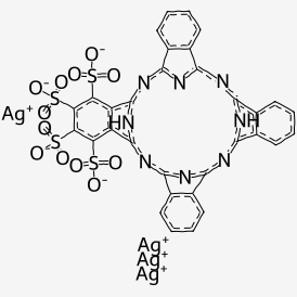 O=S(=O)([O-])c1c(S(=O)(=O)[O-])c(S(=O)(=O)[O-])c2c3nc4nc(nc5[nH]c(nc6nc(nc([nH]3)c2c1S(=O)(=O)[O-])-c1ccccc1-6)c1ccccc51)-c1ccccc1-4.[Ag+].[Ag+].[Ag+].[Ag+]